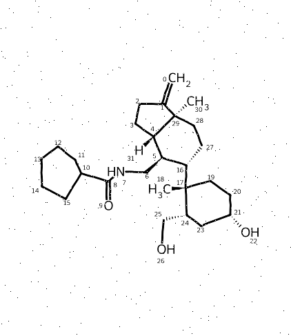 C=C1CC[C@H]2[C@H](CNC(=O)C3CCCCC3)[C@@H]([C@]3(C)CC[C@H](O)C[C@@H]3CO)CC[C@]12C